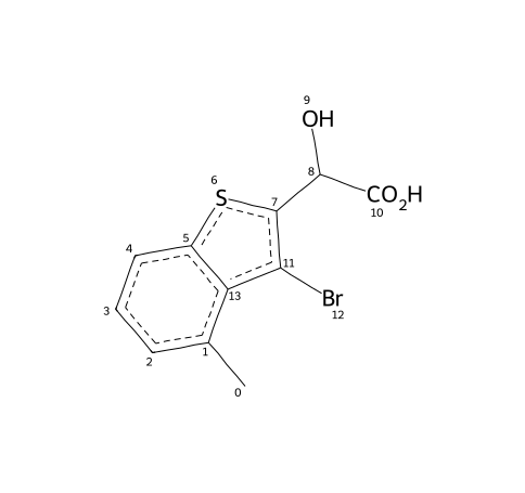 Cc1cccc2sc(C(O)C(=O)O)c(Br)c12